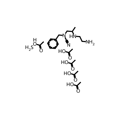 CC(=O)O.CC(=O)O.CC(=O)O.CC(=O)O.CC(=O)O.CC(CN(C#N)Cc1ccccc1)NCCN.S